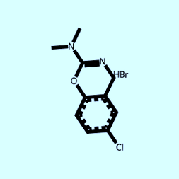 Br.CN(C)C1=NCc2cc(Cl)ccc2O1